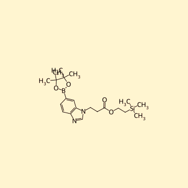 CC1(C)OB(c2ccc3ncn(CCC(=O)OCC[Si](C)(C)C)c3c2)OC1(C)C